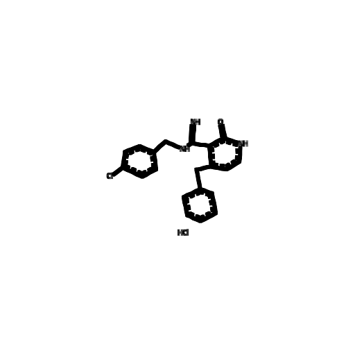 Cl.N=C(NCc1ccc(Cl)cc1)c1c(Cc2ccccc2)cc[nH]c1=O